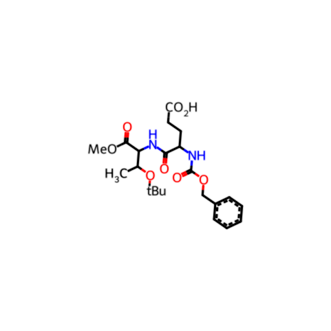 COC(=O)C(NC(=O)C(CCC(=O)O)NC(=O)OCc1ccccc1)C(C)OC(C)(C)C